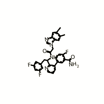 Cc1cc2ncn(CC(=O)NC(Cc3cc(F)cc(F)c3)c3ncccc3-c3ccc(F)c(C(N)=O)c3)c2cc1C